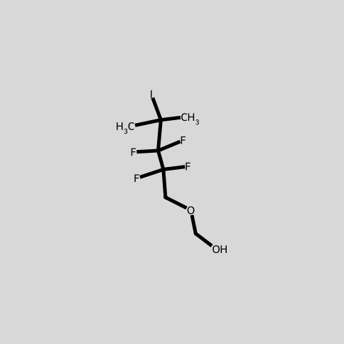 CC(C)(I)C(F)(F)C(F)(F)COCO